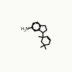 CC1(C)CC=CC(C)(C2CCc3ccc(N)cc32)C1